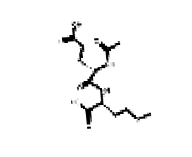 CSCC[C@H](NC(=O)[C@H](CCC(=O)O)NC(C)=O)C(=O)O